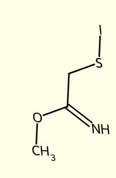 COC(=N)CSI